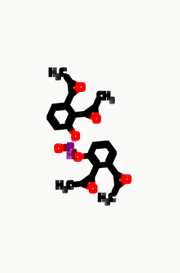 CC1OC1c1cccc(O[PH](=O)Oc2cccc(C3OC3C)c2C2OC2C)c1C1OC1C